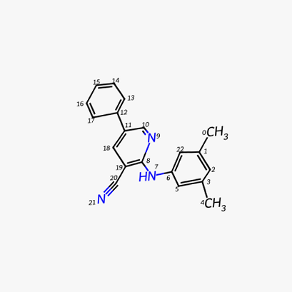 Cc1cc(C)cc(Nc2ncc(-c3ccccc3)cc2C#N)c1